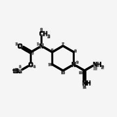 CN(C(=O)OC(C)(C)C)C1CCN(C(=N)N)CC1